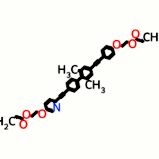 C=CC(=O)OCCOc1ccc(C#Cc2cc(C)c(-c3ccc(C#Cc4ccc(OCCOC(=O)C=C)cn4)cc3)c(C)c2)cc1